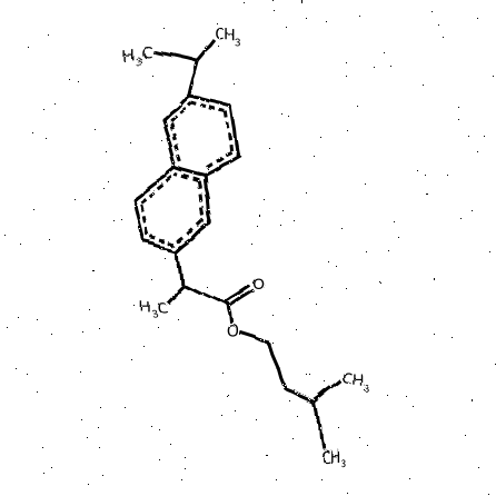 CC(C)CCOC(=O)C(C)c1ccc2cc(C(C)C)ccc2c1